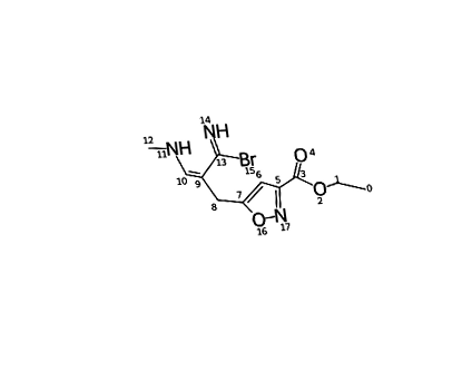 CCOC(=O)c1cc(C/C(=C/NC)C(=N)Br)on1